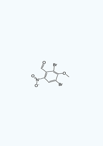 COc1c(Br)cc([N+](=O)[O-])c(C=O)c1Br